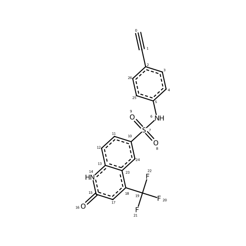 C#Cc1ccc(NS(=O)(=O)c2ccc3[nH]c(=O)cc(C(F)(F)F)c3c2)cc1